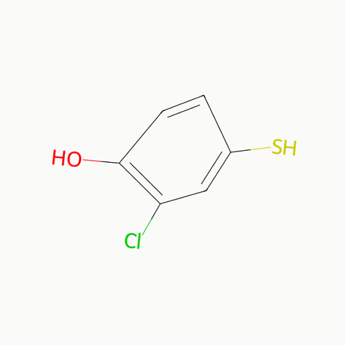 Oc1ccc(S)cc1Cl